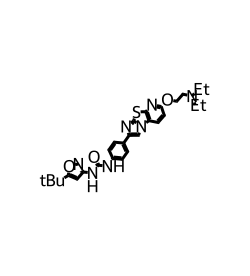 CCN(CC)CCOc1ccc2c(n1)sc1nc(-c3ccc(NC(=O)Nc4cc(C(C)(C)C)on4)cc3)cn12